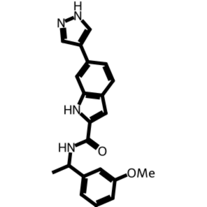 COc1cccc(C(C)NC(=O)c2cc3ccc(-c4cn[nH]c4)cc3[nH]2)c1